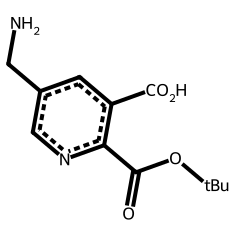 CC(C)(C)OC(=O)c1ncc(CN)cc1C(=O)O